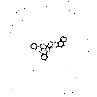 CN[C@H](Cc1ccc2ccccc2c1)C(=O)C(C)(N)[C@H](Cc1ccccc1)C(=O)N(C)N1CCCCC1